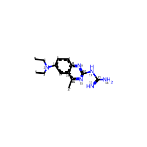 CCN(CC)c1ccc2nc(NC(=N)N)nc(C)c2c1